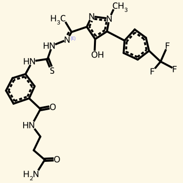 C/C(=N\NC(=S)Nc1cccc(C(=O)NCCC(N)=O)c1)c1nn(C)c(-c2ccc(C(F)(F)F)cc2)c1O